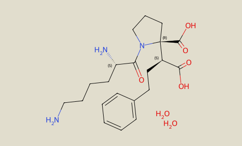 NCCCC[C@H](N)C(=O)N1CCC[C@]1(C(=O)O)[C@H](CCc1ccccc1)C(=O)O.O.O